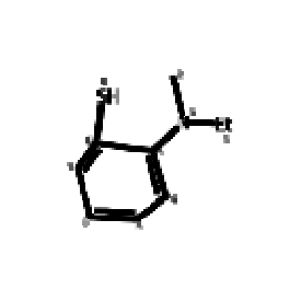 CCN(C)c1ccccc1S